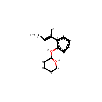 CCOC(=O)C=C(C)c1ccccc1OC1CCCCO1